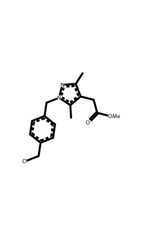 COC(=O)Cc1c(C)nn(Cc2ccc(CCl)cc2)c1C